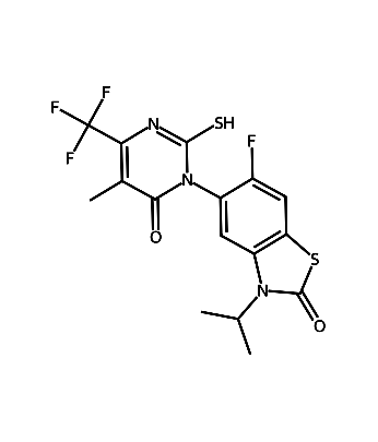 Cc1c(C(F)(F)F)nc(S)n(-c2cc3c(cc2F)sc(=O)n3C(C)C)c1=O